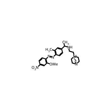 COc1cc([N+](=O)[O-])ccc1N=Nc1ccc(C(C)NCC[N+]23CCN(CC2)CC3)cc1C